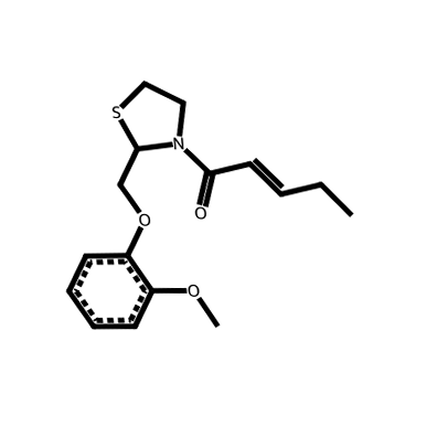 CCC=CC(=O)N1CCSC1COc1ccccc1OC